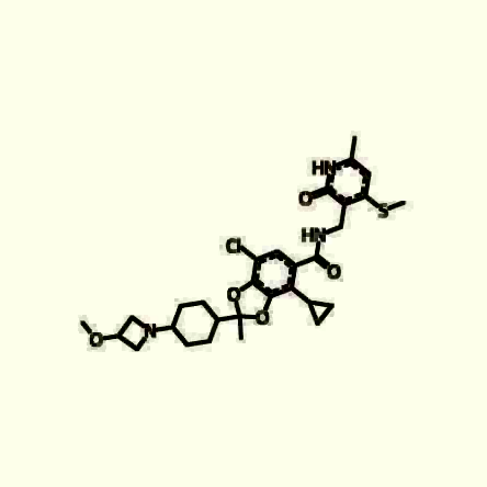 COC1CN(C2CCC(C3(C)Oc4c(Cl)cc(C(=O)NCc5c(SC)cc(C)[nH]c5=O)c(C5CC5)c4O3)CC2)C1